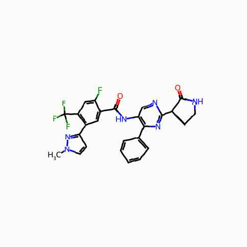 Cn1ccc(-c2cc(C(=O)Nc3cnc(C4CCNC4=O)nc3-c3ccccc3)c(F)cc2C(F)(F)F)n1